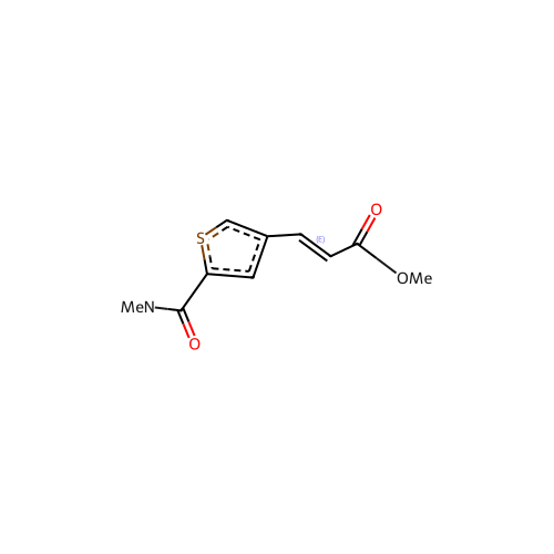 CNC(=O)c1cc(/C=C/C(=O)OC)cs1